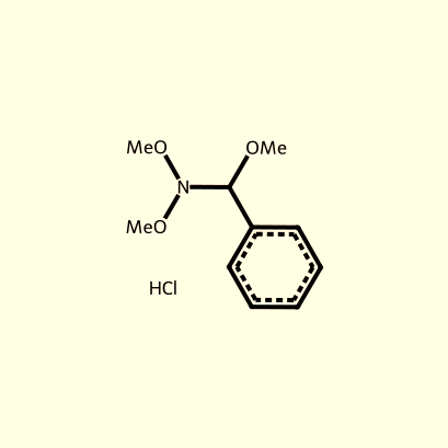 COC(c1ccccc1)N(OC)OC.Cl